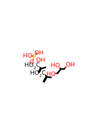 C=C(C)C(=O)O.C=C(C)C(=O)O.O=P(O)(O)O.OCC(O)CO